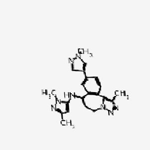 Cc1cc(NC2CCn3nnc(C)c3-c3ccc(-c4cnn(C)c4)cc32)n(C)n1